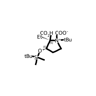 CC[C@@]1(C(=O)O)[C@@H](O[Si](C)(C)C(C)(C)C)CC[N+]1(C(=O)[O-])C(C)(C)C